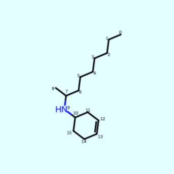 CCCCCCCC(C)NC1CC=CCC1